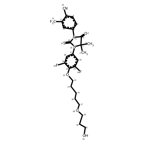 CC1(C)C(=O)N(c2ccc(C#N)c(C(F)(F)F)c2)C(=S)N1c1cc(F)c(OCCCCCOCCCO)c(F)c1